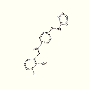 Oc1c(F)cccc1CNc1ccc(SNc2nccs2)cc1